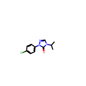 CC(C)n1cnn(-c2ccc(Cl)cc2)c1=O